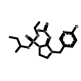 CCOP(=O)(SC(C)CC)N1CCN(Cc2ccc(Cl)nc2)C1=N[N+](=O)[O-]